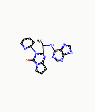 CC(Nc1ncnc2[nH]cnc12)c1nc2cccn2c(=O)n1-c1ccccn1